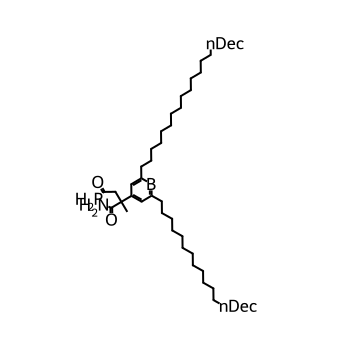 CCCCCCCCCCCCCCCCCCCCCCCCc1bc(CCCCCCCCCCCCCCCCCCCCCC)cc(C(C)(CC(=O)P)C(N)=O)c1